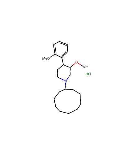 CCCOC1CN(C2CCCCCCCCC2)CCC1c1ccccc1OC.Cl